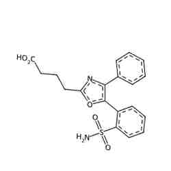 NS(=O)(=O)c1ccccc1-c1oc(CCCC(=O)O)nc1-c1ccccc1